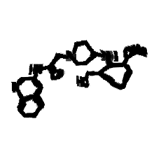 COc1cccc(CO)c1NC1CCN(CC(=O)Nc2cnc3ccccc3c2)CC1